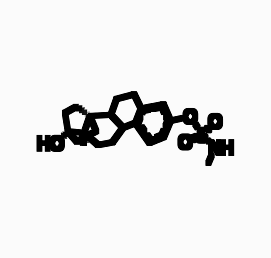 CNS(=O)(=O)Oc1ccc2c(c1)CCC1C2CC[C@]2(C)[C@]3(O)CC[C@@]12CC3